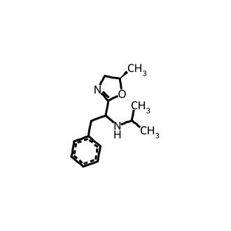 CC(C)NC(Cc1ccccc1)C1=NC[C@@H](C)O1